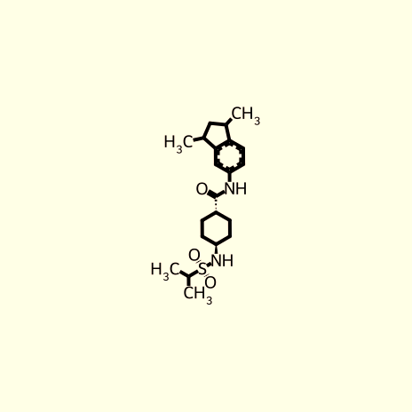 CC1CC(C)c2cc(NC(=O)[C@H]3CC[C@H](NS(=O)(=O)C(C)C)CC3)ccc21